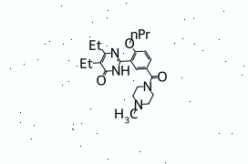 CCCOc1ccc(C(=O)N2CCN(C)CC2)cc1-c1nc(CC)c(CC)c(=O)[nH]1